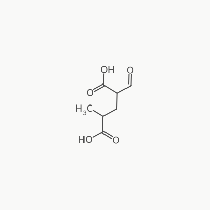 CC(CC(C=O)C(=O)O)C(=O)O